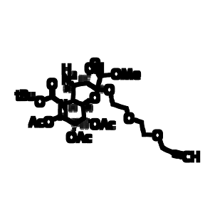 C#CCOCCOCCO[C@@]1(C(=O)OC)O[C@@H]([C@H](OC(C)=O)[C@@H](COC(C)=O)OC(C)=O)[C@H](NC(=O)OC(C)(C)C)[C@@H](N)[C@@H]1O